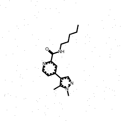 CCCCCNC(=O)c1cc(-c2cnn(C)c2C)ccn1